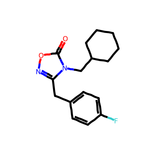 O=c1onc(Cc2ccc(F)cc2)n1CC1CCCCC1